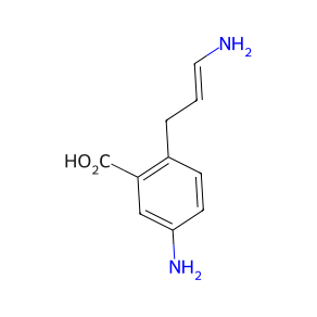 NC=CCc1ccc(N)cc1C(=O)O